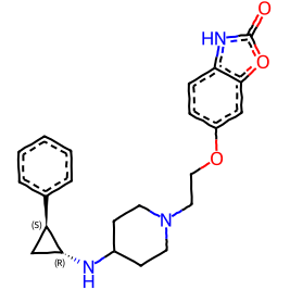 O=c1[nH]c2ccc(OCCN3CCC(N[C@@H]4C[C@H]4c4ccccc4)CC3)cc2o1